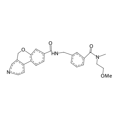 COCCN(C)C(=O)c1cccc(CNC(=O)c2ccc3c(c2)OCc2cnccc2-3)c1